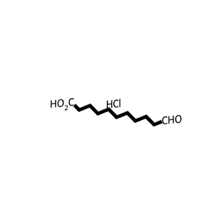 Cl.O=CCCCCCCCCCC(=O)O